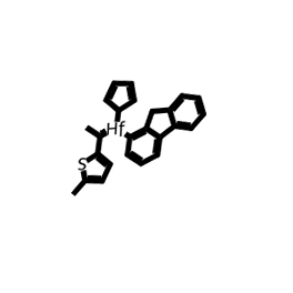 C[C](c1ccc(C)s1)=[Hf]([c]1cccc2c1Cc1ccccc1-2)[CH]1C=CC=C1